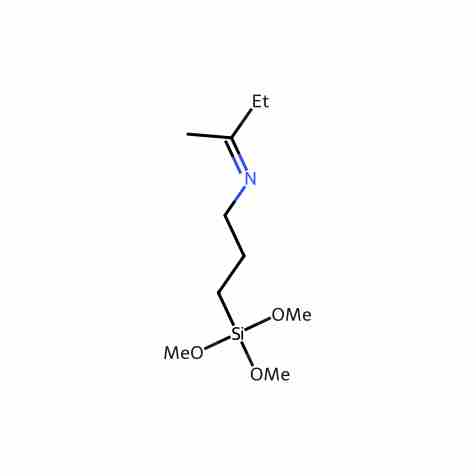 CCC(C)=NCCC[Si](OC)(OC)OC